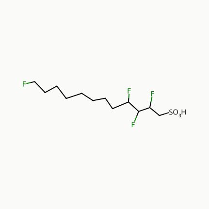 O=S(=O)(O)CC(F)C(F)C(F)CCCCCCCCF